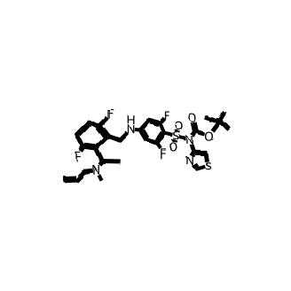 C=CCN(C)C(C)c1c(F)ccc(F)c1CNc1cc(F)c(S(=O)(=O)N(C(=O)OC(C)(C)C)c2cscn2)c(F)c1